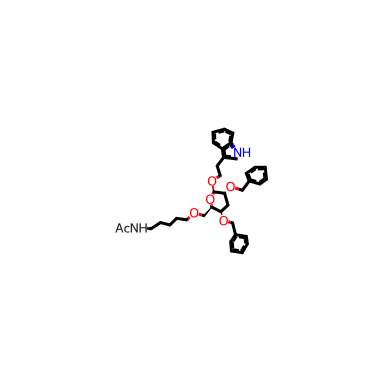 CC(=O)NCCCCCOC[C@H]1O[C@@H](OCCc2c[nH]c3ccccc23)[C@H](OCc2ccccc2)C[C@@H]1OCc1ccccc1